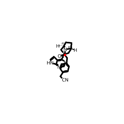 N#CCc1ccc(CC(=O)N2[C@@H]3CC[C@@H]2CN(c2ncnc4[nH]ccc24)C3)cc1